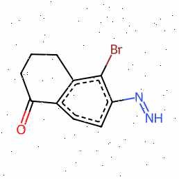 N=Nc1ccc2c(c1Br)CCCC2=O